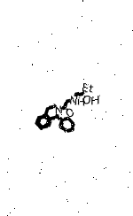 CC[C@H](O)CNCC(=O)N1CCc2ccccc2C1C1CCCCC1